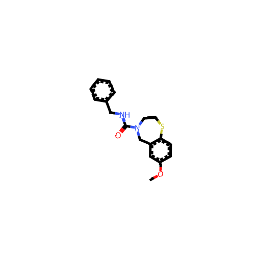 COc1ccc2c(c1)CN(C(=O)NCc1ccccc1)CCS2